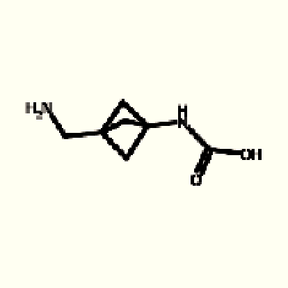 NCC12CC(NC(=O)O)(C1)C2